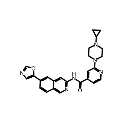 O=C(Nc1cc2cc(-c3cnco3)ccc2cn1)c1ccnc(N2CCN(C3CC3)CC2)c1